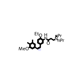 CCCN(CCC)CCC(=O)Nc1cc(/C=C\c2cc(C)c(C)c(OC)c2)ccc1OCC